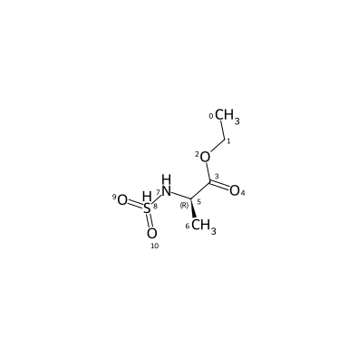 CCOC(=O)[C@@H](C)N[SH](=O)=O